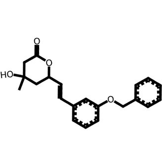 CC1(O)CC(=O)OC(C=Cc2cccc(OCc3ccccc3)c2)C1